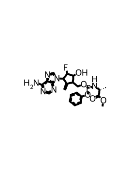 C=C1C(COP(N[C@H](C)C(=O)OC)Oc2ccccc2)C(O)C(F)C1n1cnc2c(N)ncnc21